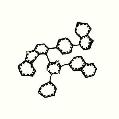 c1ccc(-c2nc(-c3ccc4ccccc4c3)nc(-c3c(-c4ccc(-c5cccc6ccccc56)cc4)ccc4oc5ccccc5c34)n2)cc1